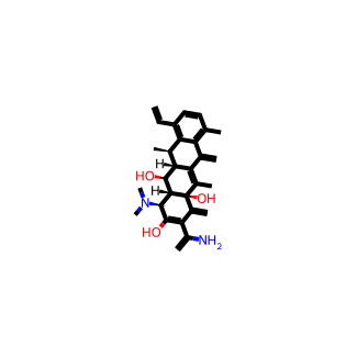 C=Cc1ccc(C)c2c1[C@H](C)[C@@H]1C(=C(C)[C@]3(O)C(=C)C(C(=C)N)=C(O)[C@@H](N(C)C)[C@@H]3[C@H]1O)C2=C